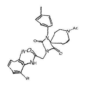 CC(=O)N1CCC2(CC1)C(=O)N(CC(=O)Nc1c(C(C)C)cccc1C(C)C)C(=O)N2c1ccc(C)cc1